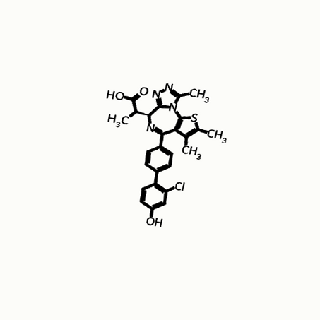 Cc1sc2c(c1C)C(c1ccc(-c3ccc(O)cc3Cl)cc1)=N[C@@H](C(C)C(=O)O)c1nnc(C)n1-2